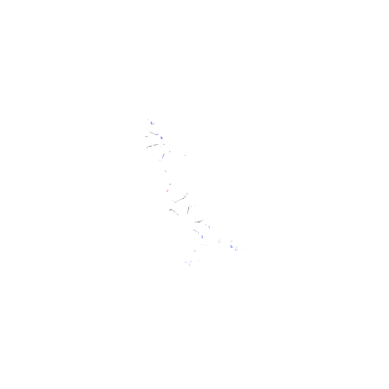 C/C(=N\OCCOc1ccc(-c2cn(CCCN)[n+](CCCN)c2)cc1)c1csc(N)n1